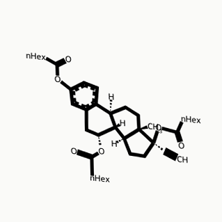 C#C[C@]1(OC(=O)CCCCCC)CC[C@H]2[C@H]3[C@H](CC[C@@]21C)c1ccc(OC(=O)CCCCCC)cc1C[C@H]3OC(=O)CCCCCC